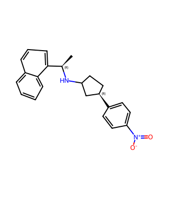 C[C@@H](NC1CC[C@@H](c2ccc([N+](=O)[O-])cc2)C1)c1cccc2ccccc12